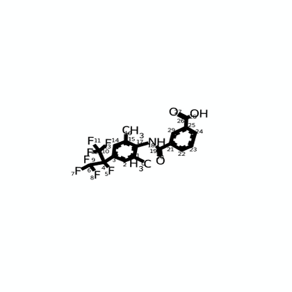 Cc1cc(C(F)(C(F)(F)F)C(F)(F)F)cc(C)c1NC(=O)c1cccc(C(=O)O)c1